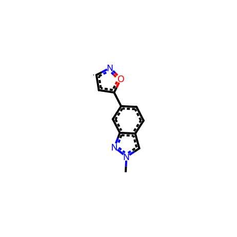 Cn1cc2ccc(-c3c[c]no3)cc2n1